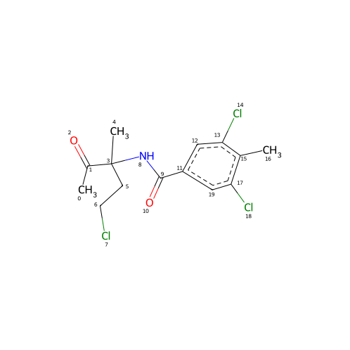 CC(=O)C(C)(CCCl)NC(=O)c1cc(Cl)c(C)c(Cl)c1